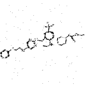 CCOC(=O)C[C@H]1CC[C@H](CN(CC)c2ccc(C(F)(F)F)cc2CNc2ncc(OCCSc3ccccc3)cn2)CC1